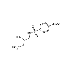 COc1ccc(S(=O)(=O)NCC(N)CC(=O)O)cc1